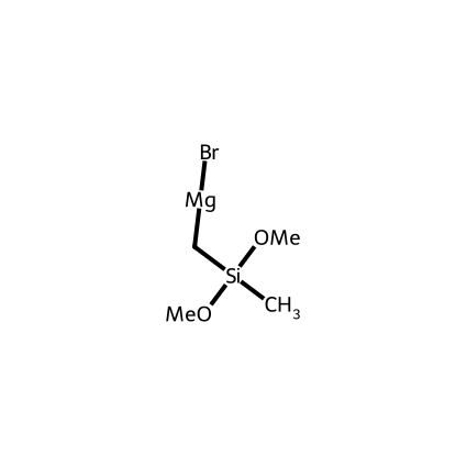 CO[Si](C)([CH2][Mg][Br])OC